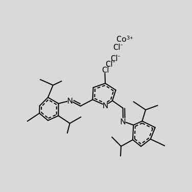 Cc1cc(C(C)C)c(N=Cc2cc(Cl)cc(C=Nc3c(C(C)C)cc(C)cc3C(C)C)n2)c(C(C)C)c1.[Cl-].[Cl-].[Cl-].[Co+3]